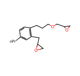 CCCc1ccc(CCCOCC2CO2)c(CC2CO2)c1